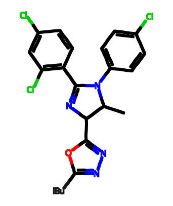 CCC(C)c1nnc(C2N=C(c3ccc(Cl)cc3Cl)N(c3ccc(Cl)cc3)C2C)o1